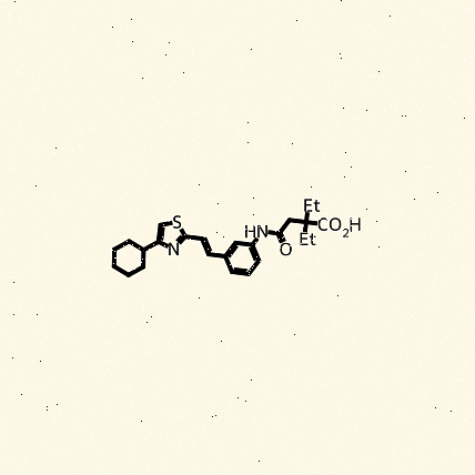 CCC(CC)(CC(=O)Nc1cccc(C=Cc2nc(C3CCCCC3)cs2)c1)C(=O)O